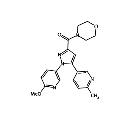 COc1ccc(-n2nc(C(=O)N3CCOCC3)cc2-c2ccc(C)nc2)cn1